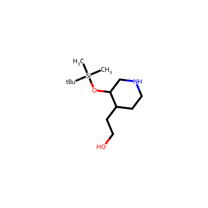 CC(C)(C)[Si](C)(C)OC1CNCCC1CCO